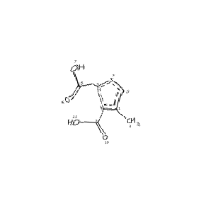 Cc1csc(C(=O)O)c1C(=O)O